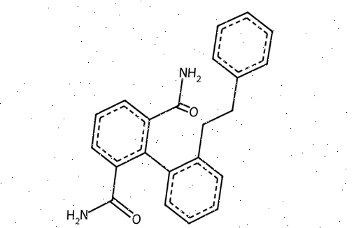 NC(=O)c1cccc(C(N)=O)c1-c1ccccc1CCc1ccccc1